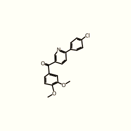 COc1ccc(C(=O)c2ccc(-c3ccc(Cl)cc3)nc2)cc1OC